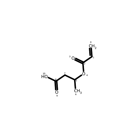 C=CC(=O)OC(C)CC(=O)O